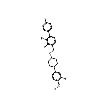 CCOc1ccc(C2CCC(OCc3ccc(-c4ccc(C)cc4)c(F)c3F)CC2)cc1F